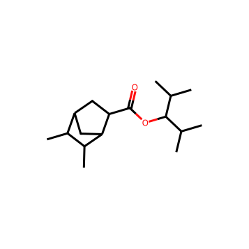 CC(C)C(OC(=O)C1CC2CC1C(C)C2C)C(C)C